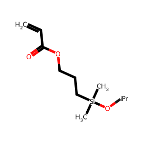 C=CC(=O)OCCC[Si](C)(C)OC(C)C